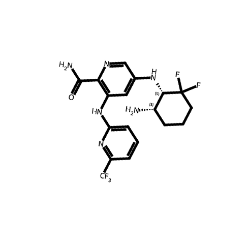 NC(=O)c1ncc(N[C@H]2[C@@H](N)CCCC2(F)F)cc1Nc1cccc(C(F)(F)F)n1